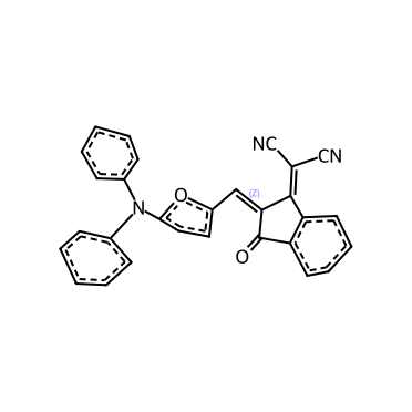 N#CC(C#N)=C1/C(=C/c2ccc(N(c3ccccc3)c3ccccc3)o2)C(=O)c2ccccc21